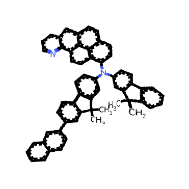 CC1(C)c2ccccc2-c2ccc(N(c3ccc4c(c3)C(C)(C)c3cc(-c5ccc6ccccc6c5)ccc3-4)c3ccc4ccc5cc6cccnc6c6ccc3c4c56)cc21